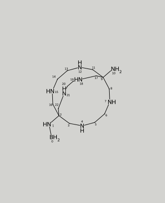 BNC12CNCCNCC(N)(CNCCNC1)CNCCNC2